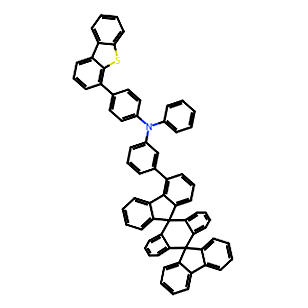 c1ccc(N(c2ccc(-c3cccc4c3sc3ccccc34)cc2)c2cccc(-c3cccc4c3-c3ccccc3C43c4ccccc4C4(c5ccccc5-c5ccccc54)c4ccccc43)c2)cc1